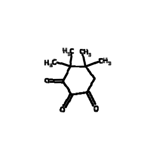 CC1(C)CC(=O)C(=O)C(=O)C1(C)C